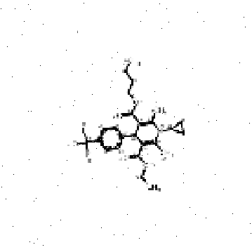 CCCCOC(=O)C1=C(C)N(C2CC2)C(C)=C(C(=O)OCC)C1c1ccc(C(F)(F)F)cc1